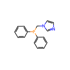 c1ccc(P(Cn2ccnc2)c2ccccc2)cc1